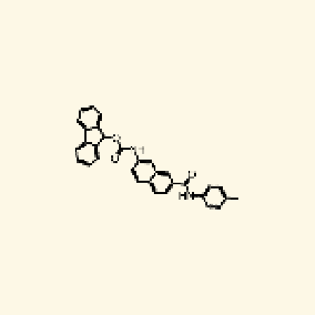 Cc1ccc(NC(=O)c2ccc3ccc(NC(=O)OC4c5ccccc5-c5ccccc54)cc3c2)cc1